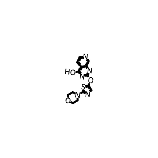 Oc1nc(Oc2cnc(N3CCOCC3)s2)nc2cnccc12